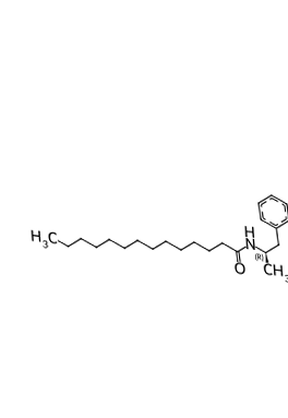 CCCCCCCCCCCCCC(=O)N[C@H](C)Cc1ccccc1